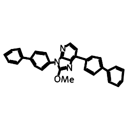 COc1nc2c(-c3ccc(-c4ccccc4)cc3)ccnc2n1-c1ccc(-c2ccccc2)cc1